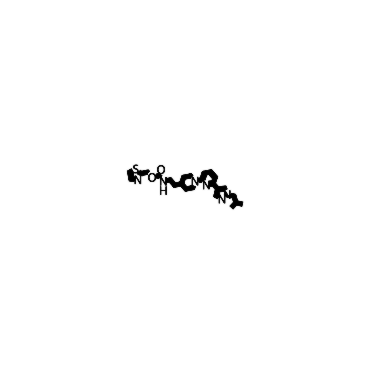 CC(C)Cn1cc(-c2cccc(N3CCC(CCNC(=O)OCc4nccs4)CC3)n2)cn1